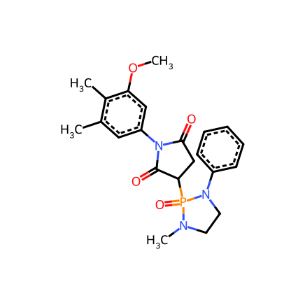 COc1cc(N2C(=O)CC(P3(=O)N(C)CCN3c3ccccc3)C2=O)cc(C)c1C